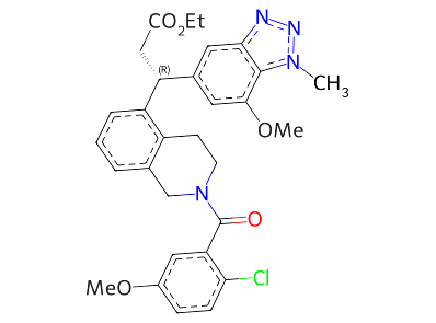 CCOC(=O)C[C@H](c1cc(OC)c2c(c1)nnn2C)c1cccc2c1CCN(C(=O)c1cc(OC)ccc1Cl)C2